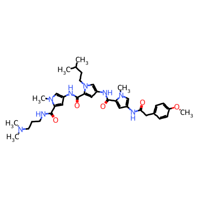 COc1ccc(CC(=O)Nc2cc(C(=O)Nc3cc(C(=O)Nc4cc(C(=O)NCCCN(C)C)n(C)c4)n(CCC(C)C)c3)n(C)c2)cc1